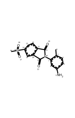 Cc1ccc(N)cc1N1C(=O)c2ccc(S(C)(=O)=O)cc2C1=O